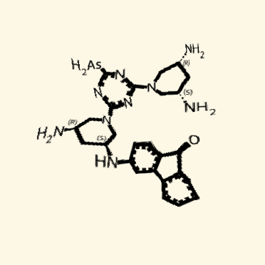 N[C@@H]1C[C@H](N)CN(c2nc([AsH2])nc(N3C[C@H](N)C[C@H](Nc4ccc5c(c4)-c4ccccc4C5=O)C3)n2)C1